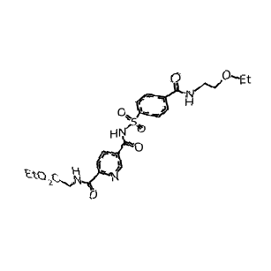 CCOCCNC(=O)c1ccc(S(=O)(=O)NC(=O)c2ccc(C(=O)NCC(=O)OCC)nc2)cc1